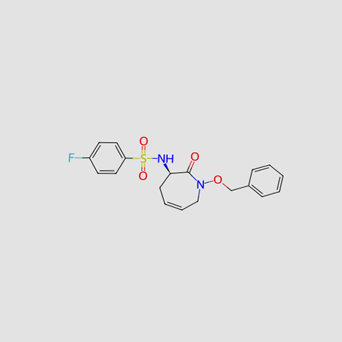 O=C1[C@H](NS(=O)(=O)c2ccc(F)cc2)CC=CCN1OCc1ccccc1